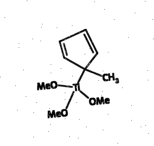 C[O][Ti]([O]C)([O]C)[C]1(C)C=CC=C1